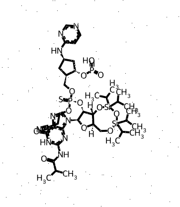 CC(C)C(=O)Nc1nc2c(ncn2[C@@H]2O[C@@H]3CO[Si](C(C)C)(C(C)C)O[Si](C(C)C)(C(C)C)O[C@H]3[C@H]2O[P@@](=S)(OCCC#N)OC[C@H]2C[C@@H](Nc3ccncn3)C[C@@H]2O[PH](=O)O)c(=O)[nH]1